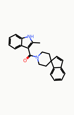 Cc1[nH]c2ccccc2c1C(=O)N1CCC2(C=Cc3ccccc32)CC1